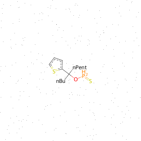 CCCCCC(CCCC)(O[PH2]=S)c1cccs1